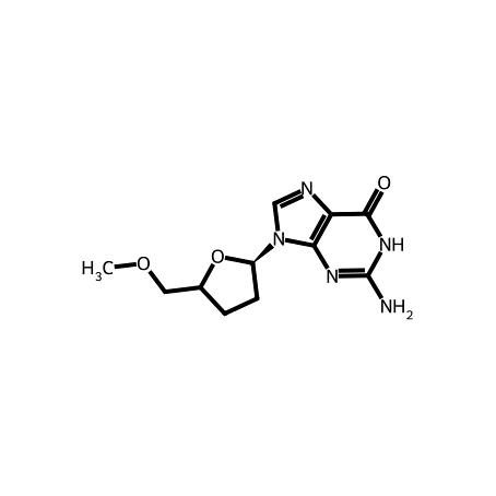 COCC1CC[C@H](n2cnc3c(=O)[nH]c(N)nc32)O1